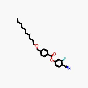 CCCCCCCCCCOCc1ccc(C(=O)Oc2ccc(C#N)c(F)c2)cc1